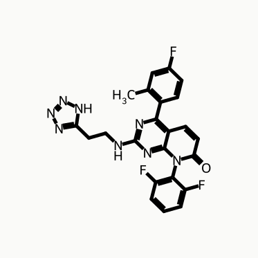 Cc1cc(F)ccc1-c1nc(NCCc2nnn[nH]2)nc2c1ccc(=O)n2-c1c(F)cccc1F